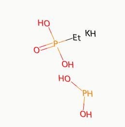 CCP(=O)(O)O.OPO.[KH]